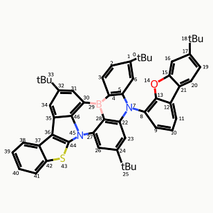 CC(C)(C)c1ccc2c(c1)N(c1cccc3c1oc1cc(C(C)(C)C)ccc13)c1cc(C(C)(C)C)cc3c1B2c1cc(C(C)(C)C)cc2c4c5ccccc5sc4n-3c12